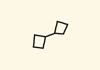 [CH]1CC(C2CCC2)C1